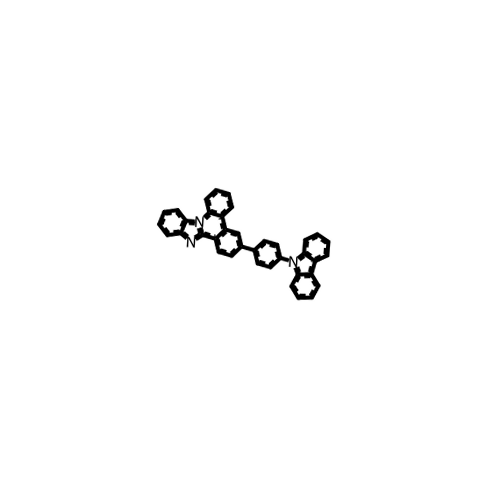 c1ccc2c(c1)nc1c3ccc(-c4ccc(-n5c6ccccc6c6ccccc65)cc4)cc3c3ccccc3n21